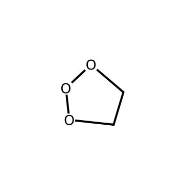 C1COOO1